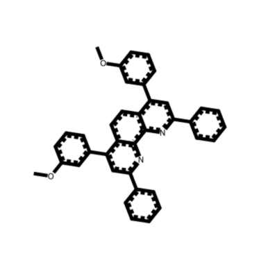 COc1cccc(-c2cc(-c3ccccc3)nc3c2ccc2c(-c4cccc(OC)c4)cc(-c4ccccc4)nc23)c1